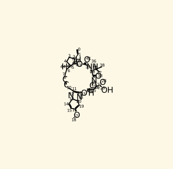 C=C[C@@H]1CC[C@H]2CCCCCc3nc4ccc(OC)cc4nc3O[C@@H]3C[C@@H](C(=O)O)N(C3)C(=O)[C@H](C(C)(C)C)NC(=O)O[C@@H]21